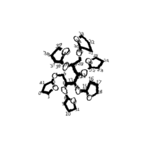 C1COC(OCC(OC2CCCO2)C(OC2CCCO2)C(OC2CCCO2)C(COC2CCCO2)OC2CCCO2)C1